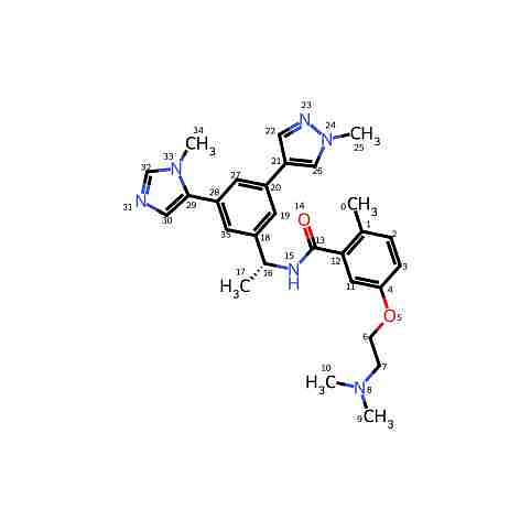 Cc1ccc(OCCN(C)C)cc1C(=O)N[C@H](C)c1cc(-c2cnn(C)c2)cc(-c2cncn2C)c1